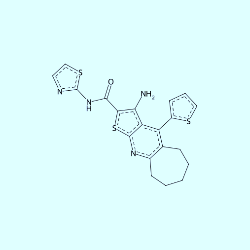 Nc1c(C(=O)Nc2nccs2)sc2nc3c(c(-c4cccs4)c12)CCCCC3